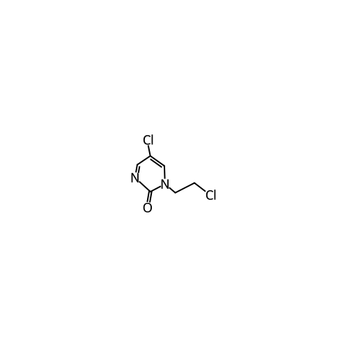 O=c1ncc(Cl)cn1CCCl